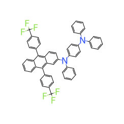 FC(F)(F)c1ccc(-c2c3ccccc3c(-c3ccc(C(F)(F)F)cc3)c3cc(N(c4ccccc4)c4ccc(N(c5ccccc5)c5ccccc5)cc4)ccc23)cc1